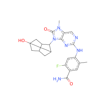 Cc1cc(C(N)=O)c(F)cc1Nc1ncc2c(n1)n(C1C3CC4(O)CC3CC14)c(=O)n2C